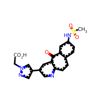 CS(=O)(=O)Nc1ccc2ccc3ncc(-c4cnn(CC(=O)O)c4)cc3c(=O)c2c1